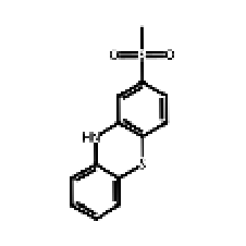 CS(=O)(=O)c1ccc2c(c1)Nc1ccccc1S2